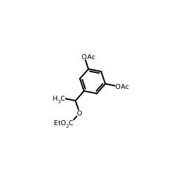 CCOC(=O)OC(C)c1cc(OC(C)=O)cc(OC(C)=O)c1